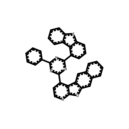 c1ccc(-c2nc(-c3ccnc4oc5cc6ccccc6cc5c34)nc(-c3cccc4sc5ccccc5c34)n2)cc1